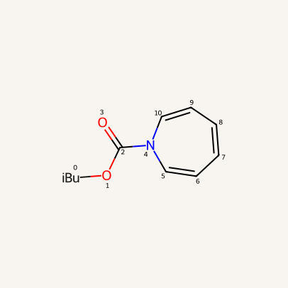 CCC(C)OC(=O)N1C=CC=CC=C1